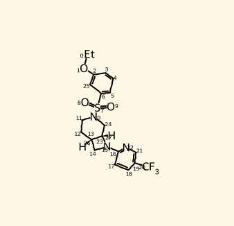 CCOc1cccc(S(=O)(=O)N2CC[C@H]3CN(c4ccc(C(F)(F)F)cn4)[C@H]3C2)c1